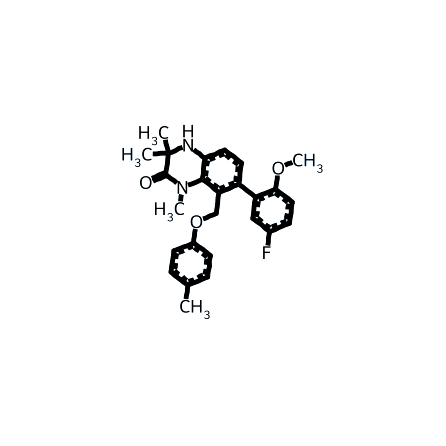 COc1ccc(F)cc1-c1ccc2c(c1COc1ccc(C)cc1)N(C)C(=O)C(C)(C)N2